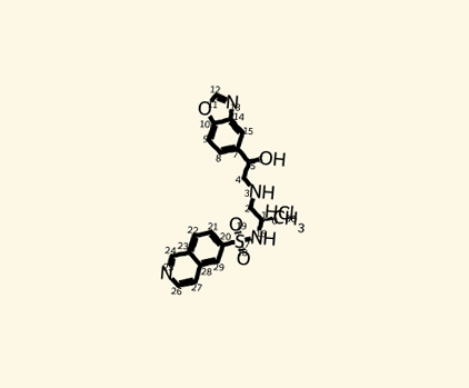 C[C@H](CNCC(O)c1ccc2ocnc2c1)NS(=O)(=O)c1ccc2cnccc2c1.Cl